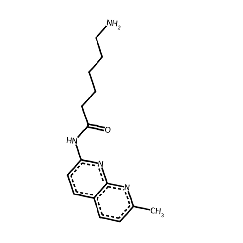 Cc1ccc2ccc(NC(=O)CCCCCN)nc2n1